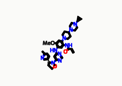 C=CC(=O)Nc1cc(Nc2cc(N3OCC[C@@H]3c3ccc(C)nc3)ncn2)c(OC)cc1N1CCC(N2CCN(C3CC3)CC2)CC1